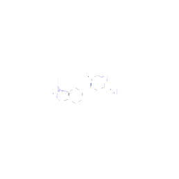 Nc1cc(-c2ccc3cn[nH]c3c2)ncn1